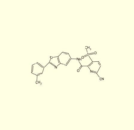 Cc1cccc(-c2nc3cc(NC(=O)c4nc(C#N)ccc4S(C)(=O)=O)ccc3o2)c1